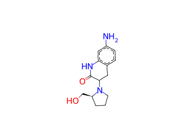 Nc1ccc2c(c1)NC(=O)C(N1CCC[C@H]1CO)C2